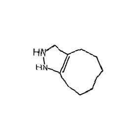 C1CCCC2=C(CC1)CNN2